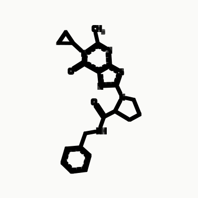 Cc1nc2sc(N3CCCC3C(=O)NCc3ccccc3)nc2c(=O)n1C1CC1